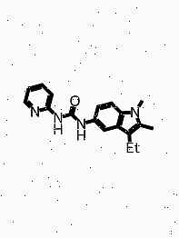 CCc1c(C)n(C)c2ccc(NC(=O)Nc3ccccn3)cc12